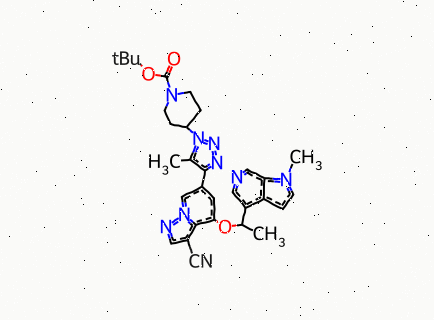 Cc1c(-c2cc(OC(C)c3cncc4c3ccn4C)c3c(C#N)cnn3c2)nnn1C1CCN(C(=O)OC(C)(C)C)CC1